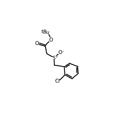 CC(C)(C)OC(=O)C[S+]([O-])Cc1ccccc1Cl